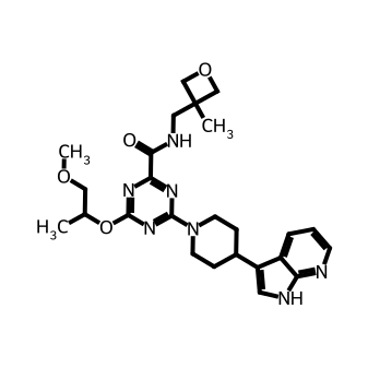 COCC(C)Oc1nc(C(=O)NCC2(C)COC2)nc(N2CCC(c3c[nH]c4ncccc34)CC2)n1